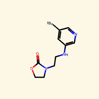 CC(C)(C)c1cncc(NCCN2CCOC2=O)c1